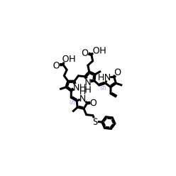 C=CC1=C(C)C(=O)N/C1=C\c1[nH]c(Cc2[nH]c(/C=C3\NC(=O)C(CCSc4ccccc4)=C3C)c(C)c2CCC(=O)O)c(CCC(=O)O)c1C